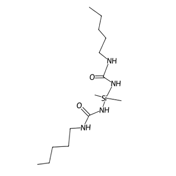 CCCCCNC(=O)N[Si](C)(C)NC(=O)NCCCCC